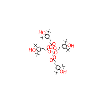 CC(C)(C)c1cc(CCC(=O)OC[C@H](OC(=O)CCc2cc(C(C)(C)C)c(O)c(C(C)(C)C)c2)[C@@H](COC(=O)CCc2cc(C(C)(C)C)c(O)c(C(C)(C)C)c2)OC(=O)CCc2cc(C(C)(C)C)c(O)c(C(C)(C)C)c2)cc(C(C)(C)C)c1O